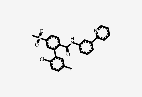 CS(=O)(=O)c1ccc(C(=O)Nc2cccc(-c3ccccn3)c2)c(-c2cc(F)ccc2Cl)c1